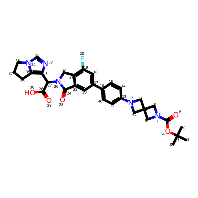 CC(C)(C)OC(=O)N1CC2(C1)CN(c1ccc(-c3cc(F)c4c(c3)C(=O)N(C(C(=O)O)c3ncn5c3CCC5)C4)cc1)C2